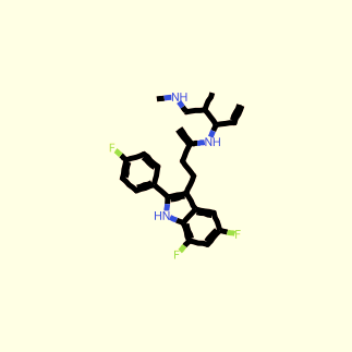 C=CC(NC(=C)CCc1c(-c2ccc(F)cc2)[nH]c2c(F)cc(F)cc12)C(C)CNC